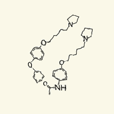 CC(=O)Nc1ccc(OCCCCCN2CCCC2)cc1.c1ccc(Oc2ccc(OCCCCCN3CCCC3)cc2)cc1